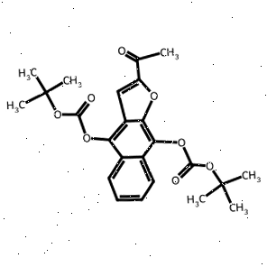 CC(=O)c1cc2c(OC(=O)OC(C)(C)C)c3ccccc3c(OC(=O)OC(C)(C)C)c2o1